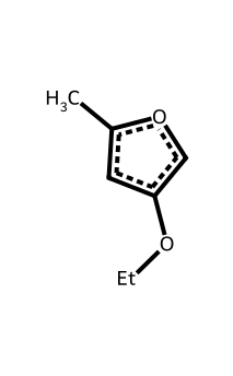 CCOc1coc(C)c1